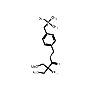 CCCCCCCC[PH](C)(C)Cc1ccc(COC(=O)C(C)(COC)COC(C)=O)cc1